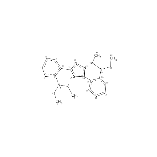 CCN(CC)c1ccccc1-c1nnc(-c2ccccc2N(CC)CC)s1